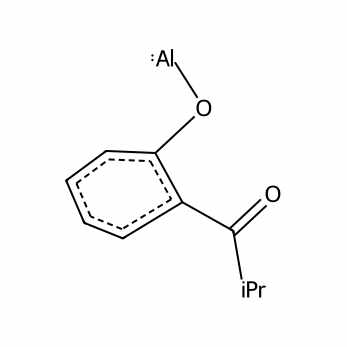 CC(C)C(=O)c1ccccc1[O][Al]